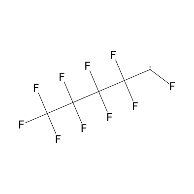 F[CH]C(F)(F)C(F)(F)C(F)(F)C(F)(F)F